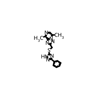 Cc1ncc(C)n2nc(CSc3nc(-c4ccccc4)n[nH]3)nc12